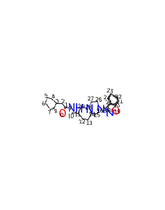 O=C(CC1CCCCC1)NCC1CCC2CN(c3noc4ccccc34)CCN2C1